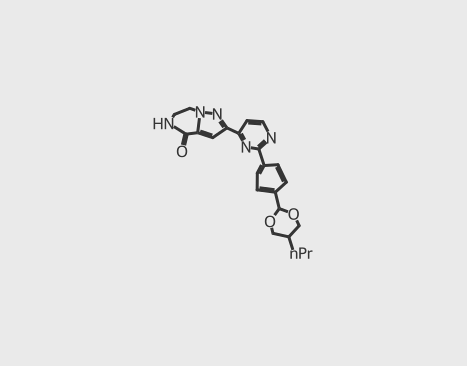 CCCC1COC(c2ccc(-c3nccc(-c4cc5n(n4)CCNC5=O)n3)cc2)OC1